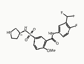 COc1ccc(S(=O)(=O)N[C@H]2CCNC2)cc1C(=O)Nc1ccc(F)c(C(F)F)c1